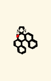 C1=NC2(N=C1)c1ccc3ccccc3c1-c1c(ccc3ccccc13)C21N=CC=N1